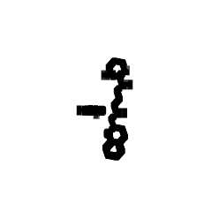 Cl.Cl.O.c1ccc2c(c1)CC[C@H](CNCCCNC1=NCCCN1)O2